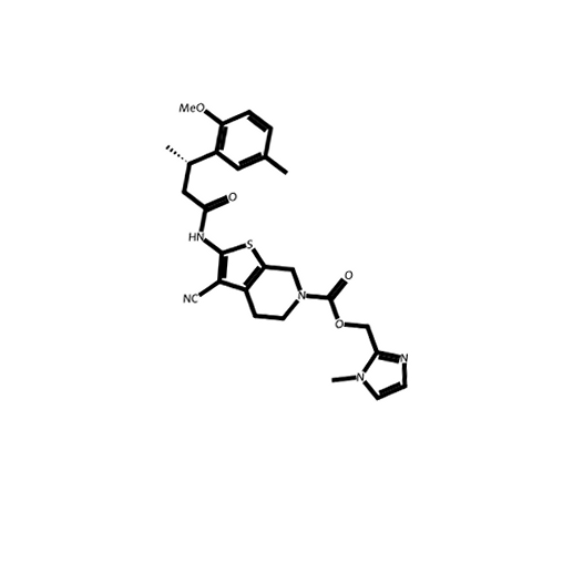 COc1ccc(C)cc1[C@@H](C)CC(=O)Nc1sc2c(c1C#N)CCN(C(=O)OCc1nccn1C)C2